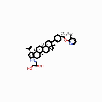 C=C(C)[C@@H]1CC[C@]2(NC[C@@](C)(O)CO)CC[C@]3(C)[C@H](CC[C@@H]4[C@@]5(C)CC=C(C6=CC[C@](COc7ncccc7C#N)(C(=O)O)CC6)C(C)(C)[C@@H]5CC[C@]43C)[C@@H]12